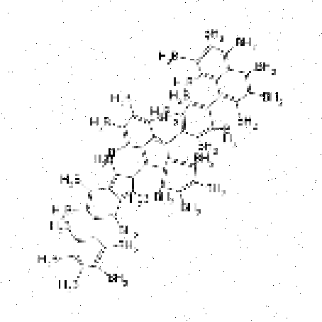 BC1=c2c(B)c(B)c(-c3c(B)c(B)c(B)c(B)c3B)c(B)c2=C(B)C1c1c2c(B)c(B)c(B)c(B)c2c(-c2c(B)c(B)c(-c3c(B)c(B)c(B)c4c(B)c(B)c(B)c(B)c34)c(B)c2B)c2c(B)c(B)c(B)c(B)c12